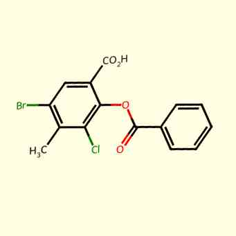 Cc1c(Br)cc(C(=O)O)c(OC(=O)c2ccccc2)c1Cl